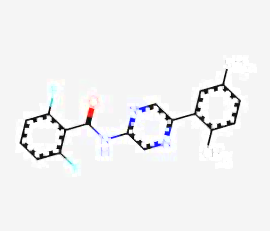 Cc1ccc(C)c(-c2cnc(NC(=O)c3c(F)cccc3F)cn2)c1